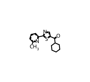 Cc1cccc(-c2ncc(C(=O)C3CCCCC3)s2)n1